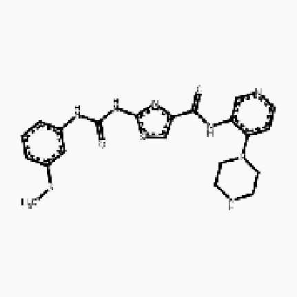 CSc1cccc(NC(=O)Nc2nc(C(=O)Nc3cnccc3N3CCNCC3)cs2)c1